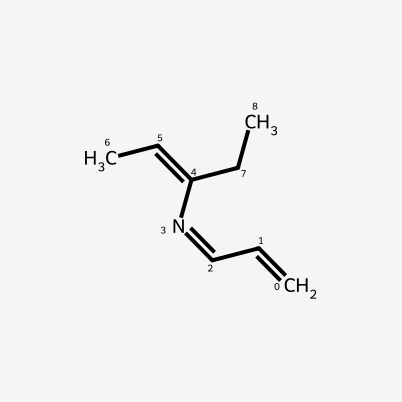 C=C/C=N\C(=C/C)CC